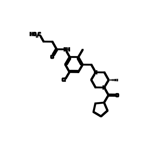 Cc1c(CN2CCN(C(=O)C3CCCC3)[C@@H](C)C2)cc(Cl)cc1NC(=O)CCC(=O)O